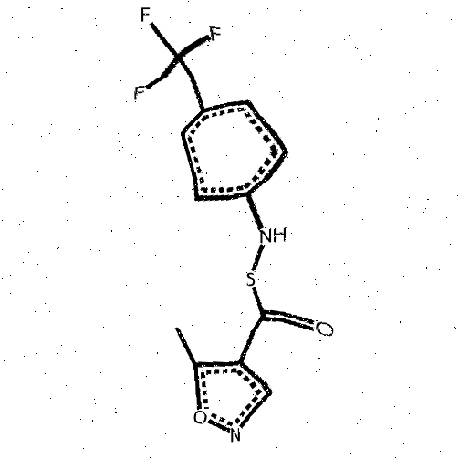 Cc1oncc1C(=O)SNc1ccc(C(F)(F)F)cc1